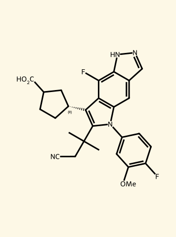 COc1cc(-n2c(C(C)(C)CC#N)c([C@@H]3CCC(C(=O)O)C3)c3c(F)c4[nH]ncc4cc32)ccc1F